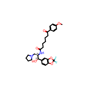 COc1ccc(C(=O)CCCCCC(=O)N[C@H](CN2CCCC2)[C@H](O)c2ccc3c(c2)OC(F)(F)O3)cc1